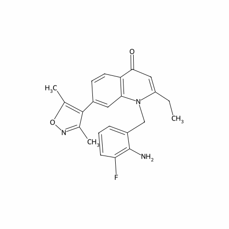 CCc1cc(=O)c2ccc(-c3c(C)noc3C)cc2n1Cc1cccc(F)c1N